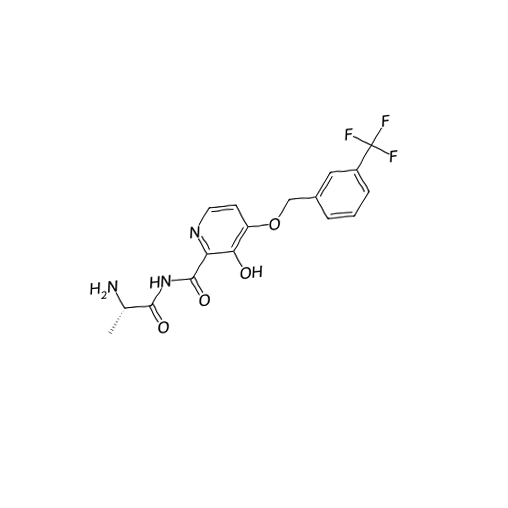 C[C@H](N)C(=O)NC(=O)c1nccc(OCc2cccc(C(F)(F)F)c2)c1O